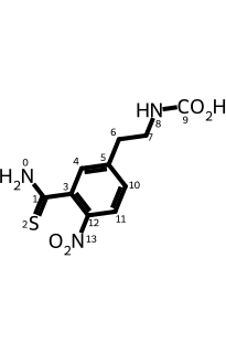 NC(=S)c1cc(CCNC(=O)O)ccc1[N+](=O)[O-]